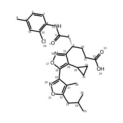 Cc1ccc(NC(=O)C[C@H](CCC(=O)O)c2noc(-c3noc(CC(C)C)c3C)c2C2CC2)c(Cl)c1